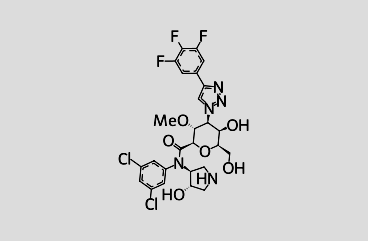 CO[C@@H]1[C@@H](n2cc(-c3cc(F)c(F)c(F)c3)nn2)[C@@H](O)[C@@H](CO)O[C@H]1C(=O)N(c1cc(Cl)cc(Cl)c1)[C@H]1CNC[C@@H]1O